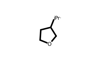 C[C](C)C1CCOC1